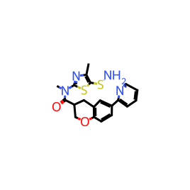 Cc1nc(N(C)C(=O)C2COc3ccc(-c4ccccn4)cc3C2)sc1SN